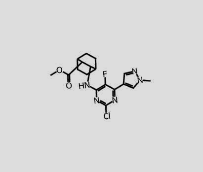 COC(=O)C1C2CCC(CC2)C1Nc1nc(Cl)nc(-c2cnn(C)c2)c1F